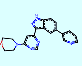 c1cncc(-c2ccc3[nH]nc(-c4cc(N5CCOCC5)ncn4)c3c2)c1